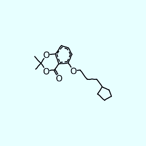 CC1(C)OC(=O)c2c(OCCCC3CCCC3)cccc2O1